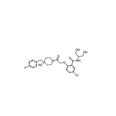 N#CC1(Cc2ccc(F)cc2)CCN(C(=O)COc2ccc(Cl)cc2C(=O)NC(CO)CO)CC1